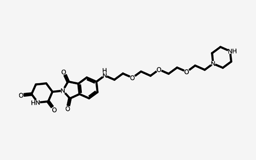 O=C1CCC(N2C(=O)c3ccc(NCCOCCOCCOCCN4CCNCC4)cc3C2=O)C(=O)N1